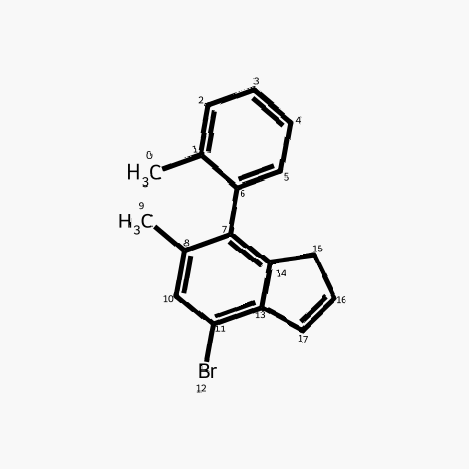 Cc1ccccc1-c1c(C)cc(Br)c2c1CC=C2